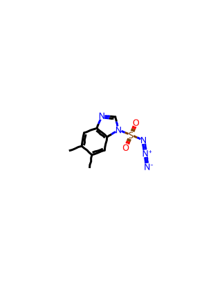 Cc1cc2ncn(S(=O)(=O)N=[N+]=[N-])c2cc1C